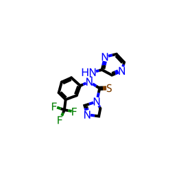 FC(F)(F)c1cccc(N(Nc2cnccn2)C(=S)N2C=NCC2)c1